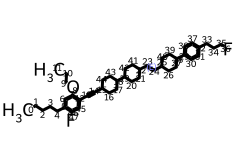 CCCCCc1cc(OCCC)c(C#CC2CCC(C3CCC(/C=C/C4CCC(c5ccc(CCCF)cc5)CC4)CC3)CC2)cc1F